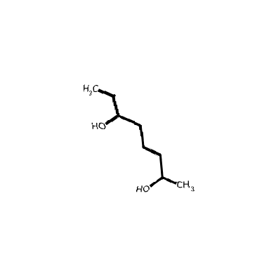 CCC(O)CCC[C](C)O